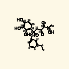 CCc1cccc(CC(O)(CC(=O)C(=O)N(C)O)c2ccc(O)c(O)c2O)c1